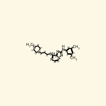 Cc1cc(C)cc(Nc2nc3c(NCCCN4CCN(C)CC4)nccn3n2)c1